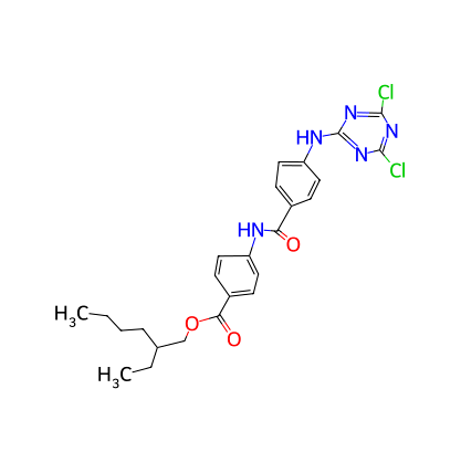 CCCCC(CC)COC(=O)c1ccc(NC(=O)c2ccc(Nc3nc(Cl)nc(Cl)n3)cc2)cc1